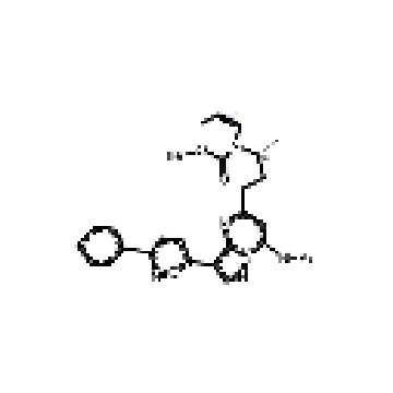 C/C=C\N(C(=O)OC(C)(C)C)[C@H](C)CCc1cc(NC(C)=O)n2ncc(-c3ccc(-c4ccccc4)nc3)c2n1